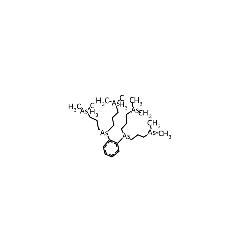 C[As](C)CCC[As](CCC[As](C)C)c1ccccc1[As](CCC[As](C)C)CCC[As](C)C